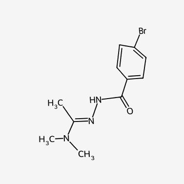 C/C(=N\NC(=O)c1ccc(Br)cc1)N(C)C